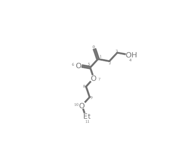 C=C(CCO)C(=O)OCCOCC